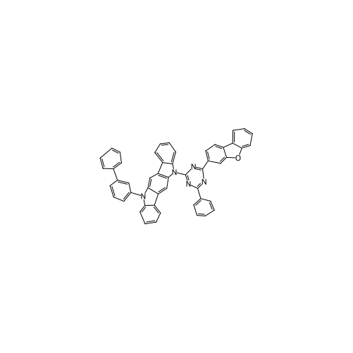 c1ccc(-c2cccc(-n3c4ccccc4c4cc5c(cc43)c3ccccc3n5-c3nc(-c4ccccc4)nc(-c4ccc5c(c4)oc4ccccc45)n3)c2)cc1